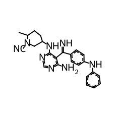 CC1CCC(Nc2ncnc(N)c2C(=N)c2ccc(Nc3ccccc3)cc2)CN1C#N